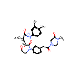 [C-]#[N+]c1ccc(NC(=O)[C@H](OC(C)=O)[C@H]2OCCN(c3cccc(CC(=O)N4CCN(C)C(=O)C4)c3)C2=O)cc1CC